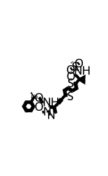 C[C@@H](OC(=O)Nc1c(C#Cc2cc3sc(C4(C(=O)NS(C)(=O)=O)CC4)cc3s2)cnn1C)c1ccccc1